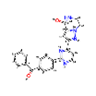 O=C(c1ccccc1)c1ccc(-c2nccc(-c3cc4n(n3)CCNC4=O)n2)cc1